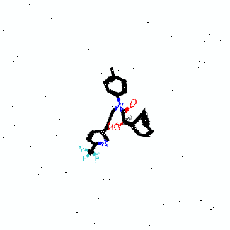 Cc1ccc(N(CCc2ccc(C(F)(F)F)nc2)C(=O)[C@H](O)c2ccccc2)cc1